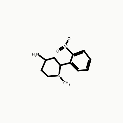 CN1CCC(N)CC1c1ccccc1[N+](=O)[O-]